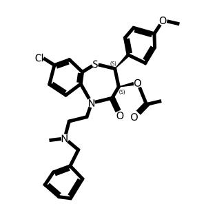 COc1ccc([C@@H]2Sc3cc(Cl)ccc3N(CCN(C)Cc3ccccc3)C(=O)[C@@H]2OC(C)=O)cc1